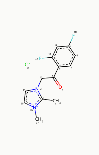 Cc1n(CC(=O)c2ccc(F)cc2F)cc[n+]1C.[Cl-]